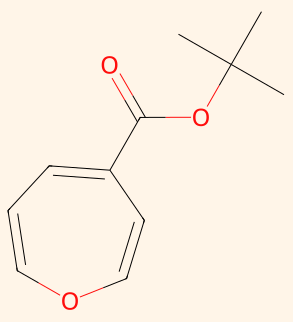 CC(C)(C)OC(=O)C1=CC=COC=C1